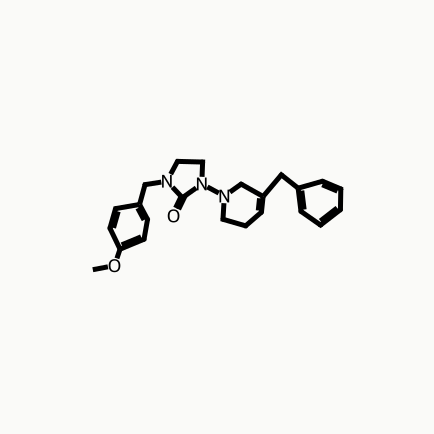 COc1ccc(CN2CCN(N3CCC=C(Cc4ccccc4)C3)C2=O)cc1